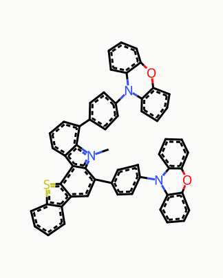 Cn1c2c(-c3ccc(N4c5ccccc5Oc5ccccc54)cc3)cccc2c2c3sc4ccccc4c3cc(-c3ccc(N4c5ccccc5Oc5ccccc54)cc3)c21